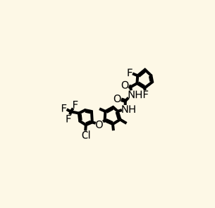 Cc1cc(NC(=O)NC(=O)c2c(F)cccc2F)c(C)c(C)c1Oc1ccc(C(F)(F)F)cc1Cl